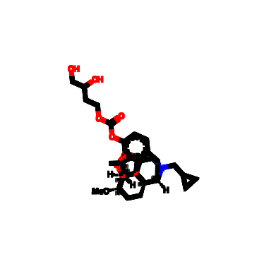 CO[C@@]12CC[C@@]3(C[C@@H]1[C@](C)(O)C(C)(C)C)[C@H]1Cc4ccc(OC(=O)OCCC(O)CO)c5c4C3(CCN1CC1CC1)[C@H]2O5